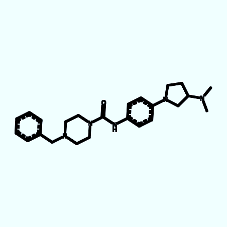 CN(C)C1CCN(c2ccc(NC(=O)N3CCN(Cc4ccccc4)CC3)cc2)C1